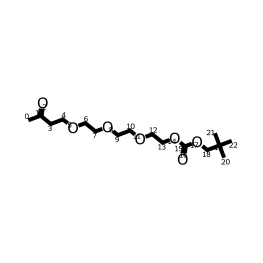 CC(=O)CCOCCOCCOCCOC(=O)OCC(C)(C)C